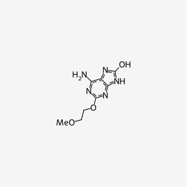 COCCOc1nc(N)c2nc(O)[nH]c2n1